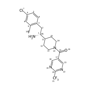 N[C@H](Cc1ccc(Cl)cc1F)C1CCN(C(=O)c2cnc(C(F)(F)F)nc2)CC1